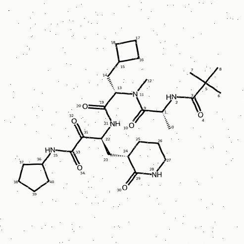 C[C@@H](NC(=O)C(C)(C)C)C(=O)N(C)[C@@H](CC1CCC1)C(=O)N[C@@H](C[C@@H]1CCCNC1=O)C(=O)C(=O)NC1CCCC1